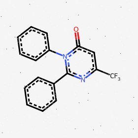 O=c1cc(C(F)(F)F)nc(-c2ccccc2)n1-c1ccccc1